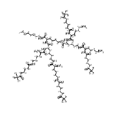 CCOCCOCCNC(=O)C(CCCCNC(=O)C(CCCCNC(=O)C(CCCCN)NC(=O)CCCCC(=O)C(C)(C)C)NC(=O)C(CCCCN)NC(=O)CCCCC(=O)C(C)(C)C)NC(=O)C(CCCCNC(=O)C(N)CCCCNC(=O)CCCCC(=O)C(C)(C)C)NC(=O)C(N)CCCCNC(=O)CCCCC(=O)C(C)(C)C